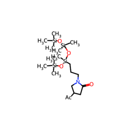 CC(=O)C1CC(=O)N(CCC[Si](C)(O[Si](C)(C)C)O[Si](C)(C)O[Si](C)(C)C)C1